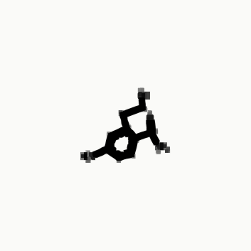 NC(=O)c1ccc(N)cc1CCO